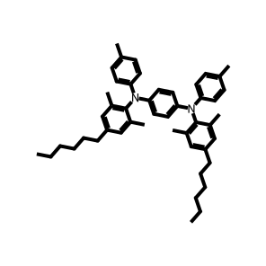 CCCCCCc1cc(C)c(N(c2ccc(C)cc2)c2ccc(N(c3ccc(C)cc3)c3c(C)cc(CCCCCC)cc3C)cc2)c(C)c1